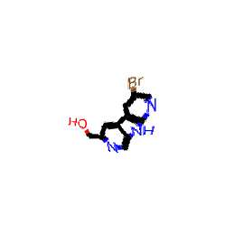 OCc1cc2c(cn1)[nH]c1ncc(Br)cc12